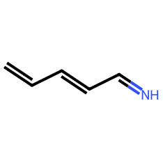 C=C/C=C/C=N